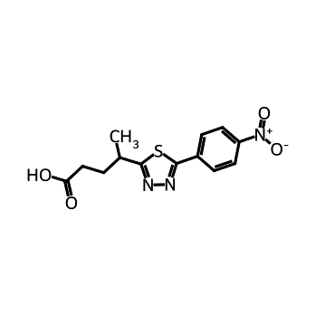 CC(CCC(=O)O)c1nnc(-c2ccc([N+](=O)[O-])cc2)s1